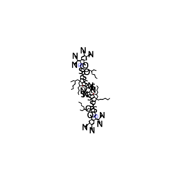 CCCCCCC1(CC(CC)CCCC)c2cc(-c3sc(/C=C4\C(=O)c5cc(C#N)c(C#N)cc5C4=C(C#N)C#N)cc3OCC(CC)CCCC)sc2-c2sc(-c3c4c(c(-c5cc6c(s5)-c5sc(-c7sc(/C=C8\C(=O)c9cc(C#N)c(C#N)cc9C8=C(C#N)C#N)cc7OCC(CC)CCCC)cc5C6(CC(CC)CCCC)CC(CC)CCCC)c5nsnc35)N=S=N4)cc21